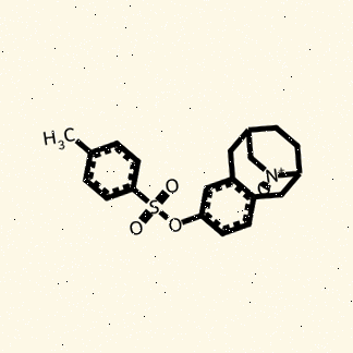 Cc1ccc(S(=O)(=O)Oc2ccc3c(c2)CC2CCC(C3)[N+](=O)C2)cc1